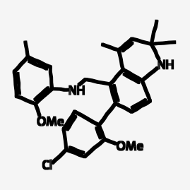 COc1ccc(C)cc1NCc1c(-c2ccc(Cl)cc2OC)ccc2c1C(C)=CC(C)(C)N2